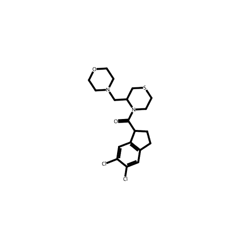 O=C(C1CCc2cc(Cl)c(Cl)cc21)N1CCSCC1CN1CCOCC1